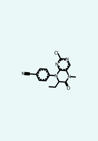 CCC1C(=O)N(C)c2cnc(Cl)nc2N1c1ccc(C#N)cc1